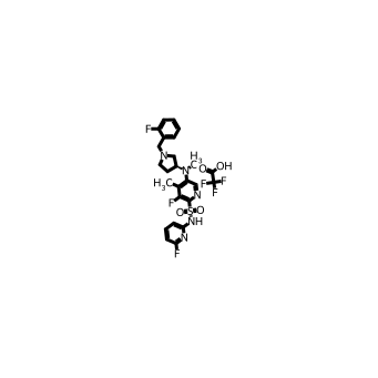 Cc1c(N(C)[C@H]2CCN(Cc3ccccc3F)C2)cnc(S(=O)(=O)Nc2cccc(F)n2)c1F.O=C(O)C(F)(F)F